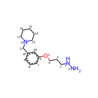 NNCCCOc1cccc(CN2CCCCC2)c1